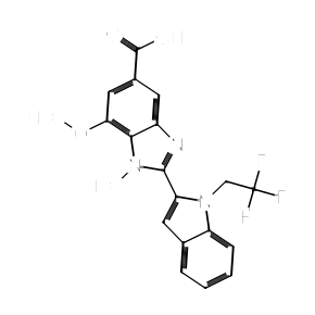 COc1cc(C(=O)O)cc2nc(-c3cc4ccccc4n3CC(F)(F)F)n(C)c12